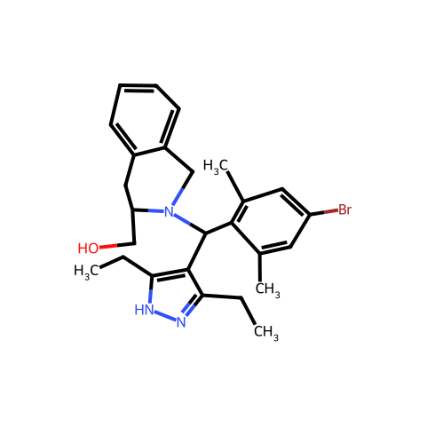 CCc1n[nH]c(CC)c1C(c1c(C)cc(Br)cc1C)N1Cc2ccccc2CC1CO